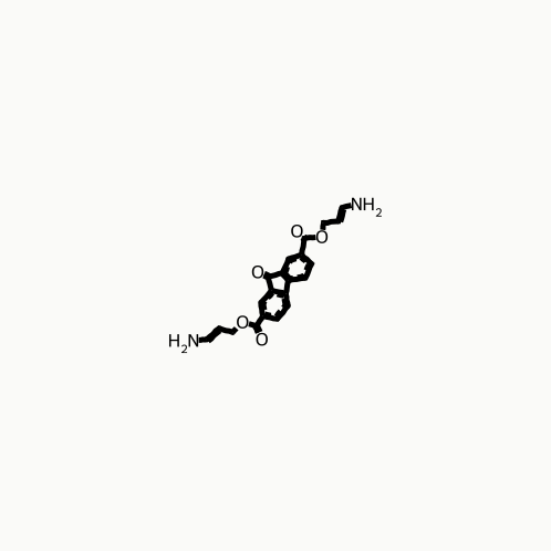 NC=CCOC(=O)c1ccc2c(c1)C(=O)c1cc(C(=O)OCC=CN)ccc1-2